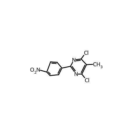 Cc1c(Cl)nc(-c2ccc([N+](=O)[O-])cc2)nc1Cl